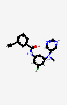 C#Cc1cccc(C(=O)Nc2cc(F)cc(N(C)c3cncnc3)c2)c1